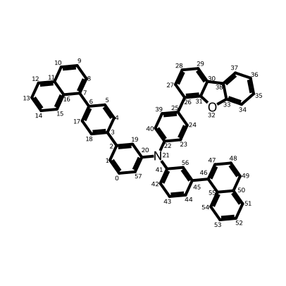 c1cc(-c2ccc(-c3cccc4ccccc34)cc2)cc(N(c2ccc(-c3cccc4c3oc3ccccc34)cc2)c2cccc(-c3cccc4ccccc34)c2)c1